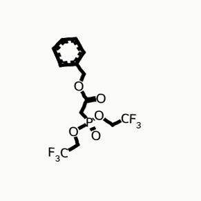 O=C(CP(=O)(OCC(F)(F)F)OCC(F)(F)F)OCc1ccccc1